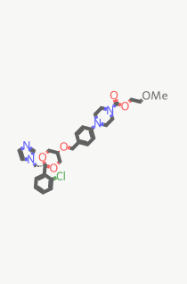 COCCOC(=O)N1CCN(c2ccc(CO[C@H]3CO[C@](Cn4ccnc4)(c4ccccc4Cl)OC3)cc2)CC1